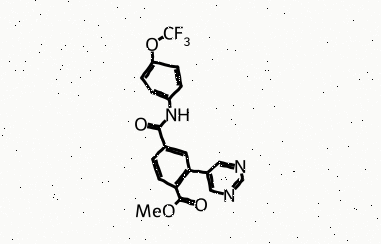 COC(=O)c1ccc(C(=O)Nc2ccc(OC(F)(F)F)cc2)cc1-c1cncnc1